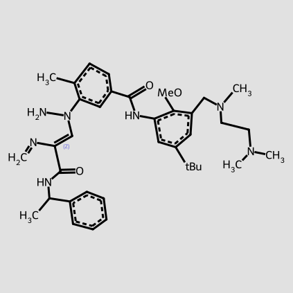 C=N/C(=C\N(N)c1cc(C(=O)Nc2cc(C(C)(C)C)cc(CN(C)CCN(C)C)c2OC)ccc1C)C(=O)NC(C)c1ccccc1